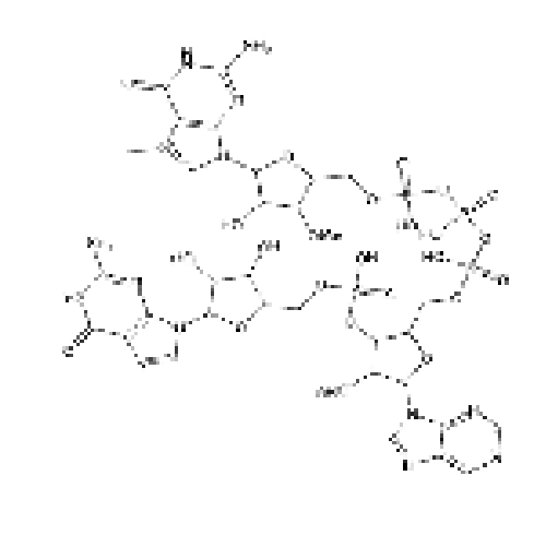 COC1C(COP(=O)(O)OP(=O)(O)OP(=O)(O)OCC2OC(n3cnc4cncnc43)C(OC)C2OP(O)(=S)OCC2OC(n3cnc4c(=O)[nH]c(N)nc43)C(O)C2O)OC(n2c[n+](C)c3c(=O)[nH]c(N)nc32)C1O